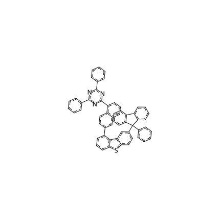 c1ccc(-c2nc(-c3ccccc3)nc(-c3cccc4cc(-c5cccc6sc7ccc(C8(c9ccccc9)c9ccccc9-c9ccccc98)cc7c56)ccc34)n2)cc1